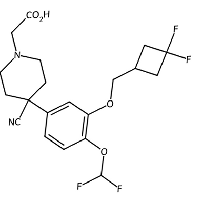 N#CC1(c2ccc(OC(F)F)c(OCC3CC(F)(F)C3)c2)CCN(CC(=O)O)CC1